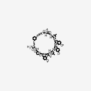 COc1ccc(C[C@@H]2NC(=O)[C@H](Cc3ccc(OC)cc3)N(C)C(=O)[C@@H](CC(C)C)NC(=O)[C@H]([C@@H](C)OC)NC(=O)CCSCc3cccc(c3)CSC[C@H](C(N)=O)NC(=O)[C@]3(C)CCCN3C(=O)[C@H](Cc3ccc(OC)cc3)NC(=O)[C@H]([C@@H](C)OC)NC(=O)[C@H](CC(C)C)N(C)C2=O)cc1